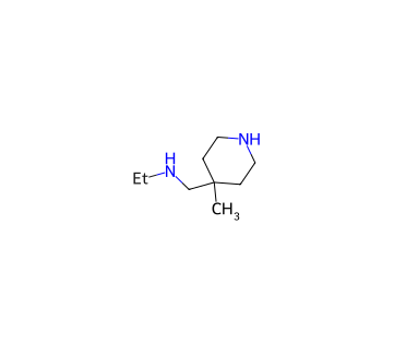 CCNCC1(C)CCNCC1